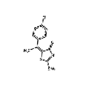 CSC1=NC(=O)C(=C(C)c2ccc(Cl)cc2)S1